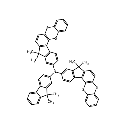 CC1(C)c2ccccc2-c2ccc(N(c3ccc4c(c3)C(C)(C)c3ccc5c(c3-4)Sc3ccccc3S5)c3ccc4c(c3)C(C)(C)c3ccc5c(c3-4)Sc3ccccc3S5)cc21